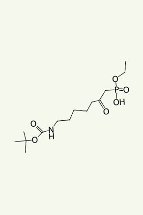 CCOP(=O)(O)CC(=O)CCCCCNC(=O)OC(C)(C)C